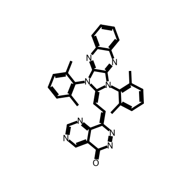 Cc1cccc(C)c1N1C(=C/C=C2/N=NC(=O)c3cncnc32)N(c2c(C)cccc2C)c2nc3ccccc3nc21